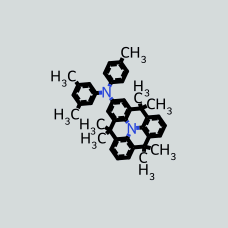 Cc1ccc(N(c2cc(C)cc(C)c2)c2cc3c4c(c2)C(C)(C)c2cccc5c2N4c2c(cccc2C3(C)C)C5(C)C)cc1